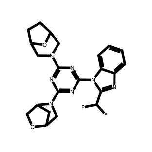 FC(F)c1nc2ccccc2n1-c1nc(N2CC3CCC(C2)O3)nc(N2CC3CC2CO3)n1